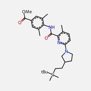 COC(=O)c1cc(C)c(NC(=O)c2nc(N3CCC(CC[Si](C)(C)C(C)(C)C)C3)ccc2C)c(C)c1